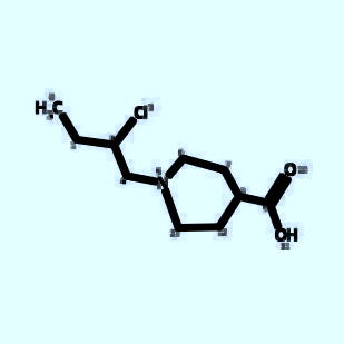 CCC(Cl)CN1CCC(C(=O)O)CC1